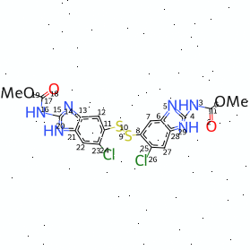 COC(=O)Nc1nc2cc(SSc3cc4nc(NC(=O)OC)[nH]c4cc3Cl)c(Cl)cc2[nH]1